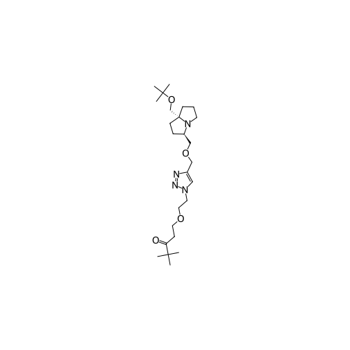 CC(C)(C)OC[C@]12CCCN1[C@@H](COCc1cn(CCOCCC(=O)C(C)(C)C)nn1)CC2